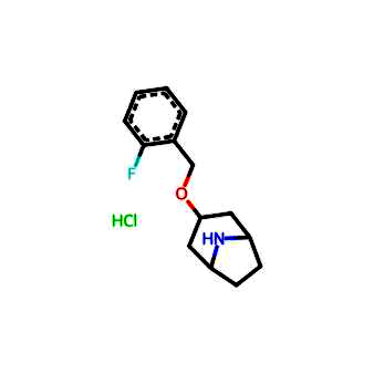 Cl.Fc1ccccc1COC1CC2CCC(C1)N2